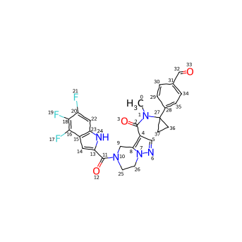 CN(C(=O)c1cnn2c1CN(C(=O)c1cc3c(F)c(F)c(F)cc3[nH]1)CC2)C1(c2ccc(C=O)cc2)CC1